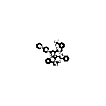 CN(Cc1cccc(C(F)(F)F)c1)C(=O)C(CC(=O)N1CCC(N2CCCCC2)CC1)N1C(=O)C(N2C(=O)OCC2c2ccccc2)C1/C=C/c1ccccc1